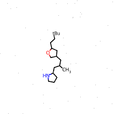 CC(CC1COC(CCC(C)(C)C)C1)CC1CCCN1